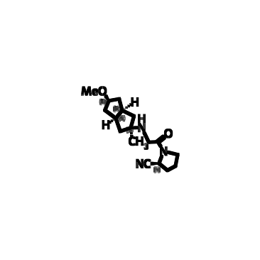 CO[C@@H]1C[C@@H]2C[C@](C)(NCC(=O)N3CCC[C@H]3C#N)C[C@@H]2C1